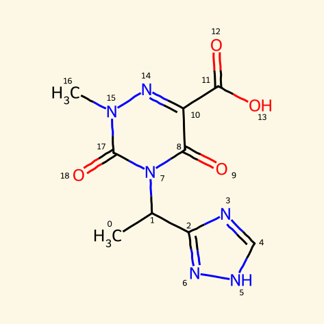 CC(c1nc[nH]n1)n1c(=O)c(C(=O)O)nn(C)c1=O